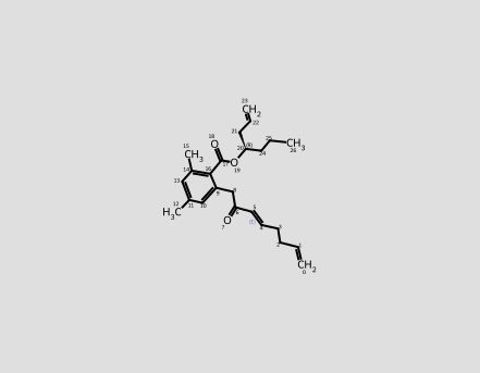 C=CCC/C=C/C(=O)Cc1cc(C)cc(C)c1C(=O)O[C@@H](CC=C)CCC